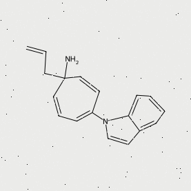 C=CCC1(N)C=CC=C(n2ccc3ccccc32)C=C1